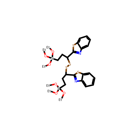 CCO[Si](CCC(SSC(CC[Si](OCC)(OCC)OCC)c1nc2ccccc2s1)c1nc2ccccc2s1)(OCC)OCC